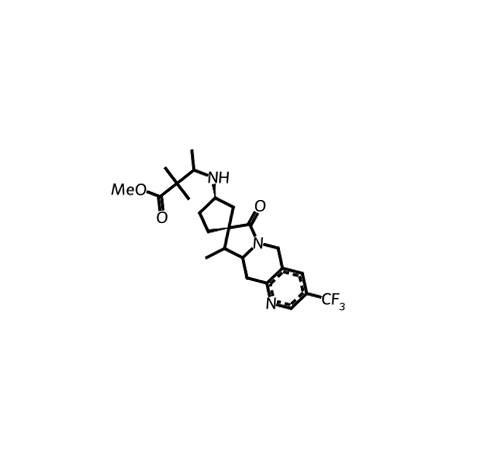 COC(=O)C(C)(C)C(C)N[C@@H]1CC[C@@]2(C1)C(=O)N1Cc3cc(C(F)(F)F)cnc3CC1C2C